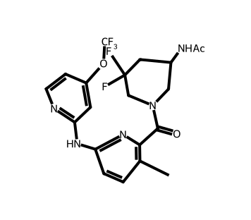 CC(=O)NC1CN(C(=O)c2nc(Nc3cc(OC(F)(F)F)ccn3)ccc2C)CC(F)(F)C1